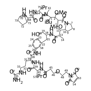 CCC(C)C(C(CC(=O)N1CCCC1C(OC)C(C)C(=O)NC(CO)Cc1cccc(NC(=O)C(CCCNC(N)=O)NC(=O)C(NC(=O)CCOCCN2C(=O)C=CC2=O)C(C)C)c1)OC)N(C)C(=O)C(NC(=O)C1NC2CCC1C2)C(C)C